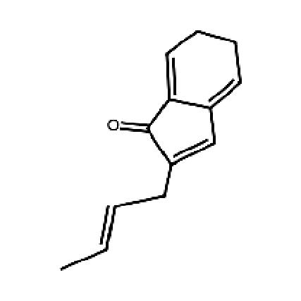 CC=CCC1=CC2=CCCC=C2C1=O